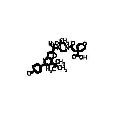 CC(C)(C)c1cc(-c2ccc(Cl)cc2)nc2cc(C(=O)N3CCN(C(=O)CC4(C(=O)O)CCOCC4)CC3(C)C)oc12